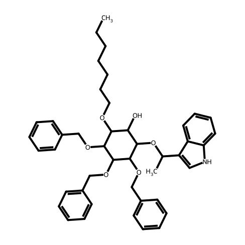 CCCCCCCOC1C(O)C(OC(C)c2c[nH]c3ccccc23)C(OCc2ccccc2)C(OCc2ccccc2)C1OCc1ccccc1